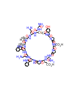 CCCC[C@H]1C(=O)N(C)[C@@H](CCCC)C(=O)N[C@@H](CCCN)C(=O)N[C@H](C(=O)NCC(N)=O)CSCC(=O)N[C@@H](Cc2ccc(O)cc2)C(=O)N2CCC[C@H]2C(=O)NC(CC(=O)O)C(=O)N2CCC[C@H]2C(=O)N[C@@H](CN)C(=O)N[C@@H](CCC(=O)O)C(=O)N2CCC[C@H]2C(=O)N[C@@H](Cc2c[nH]c3ccccc23)C(=O)N[C@@H](CCCN)C(=O)N[C@@H](Cc2c[nH]c3ccccc23)C(=O)N1C